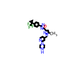 Cc1cc(-c2nc(-c3ccc(C4(C(F)(F)F)CC4)cc3)no2)nn1Cc1ccnc(N2CCNCC2)c1